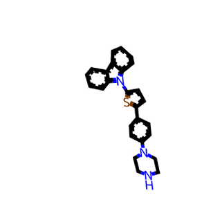 c1ccc2c(c1)c1ccccc1n2-c1ccc(-c2ccc(N3CCNCC3)cc2)s1